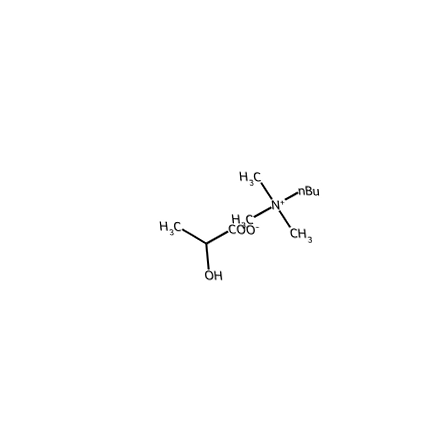 CC(O)C(=O)[O-].CCCC[N+](C)(C)C